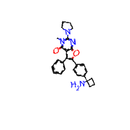 Cn1c(N2CCCC2)nc2oc(-c3ccc(C4(N)CCC4)cc3)c(-c3ccccc3)c2c1=O